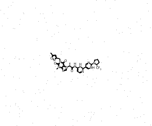 Cc1cc(Cn2c(=O)c3c(ncn3[C@@H](C)C(=O)NC3=CC=NC(C4=CNC(N5CCC[C@H]5C(F)(F)F)N=C4)N3)n(C)c2=O)no1